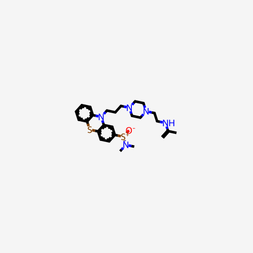 C=C(C)NCCN1CCN(CCCN2c3ccccc3Sc3ccc([S+]([O-])N(C)C)cc32)CC1